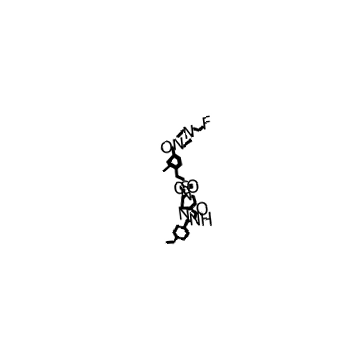 CCC1CCC(C2=NC3(CCN(S(=O)(=O)CCc4ccc(C(=O)N5CCN(CCF)CC5)cc4C)CC3)C(=O)N2)CC1